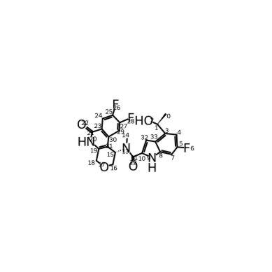 C[C@H](O)c1cc(F)cc2[nH]c(C(=O)N(C)[C@@H]3COCc4[nH]c(=O)c5cc(F)c(F)cc5c43)cc12